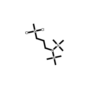 C[Si](Cl)(Cl)CCCN([Si](C)(C)C)[Si](C)(C)C